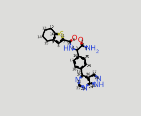 NC(=O)C(NC(=O)c1cc2c(s1)CCCC2)c1ccc(-c2ncnc3[nH]ncc23)cc1